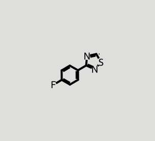 Fc1ccc(-c2n[c]sn2)cc1